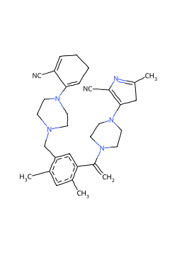 C=C(c1cc(CN2CCN(C3=CCCC=C3C#N)CC2)c(C)cc1C)N1CCN(C2=C(C#N)N=C(C)C2)CC1